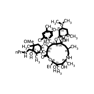 CCCNC[C@]1(O)[C@H](C)O[C@@H](O[C@H]2[C@H](C)[C@@H](O[C@@H]3O[C@H](C)C[C@H](N(C)C)[C@H]3Oc3cnc(Cl)cc3C)[C@](C)(O)C[C@@H](C)CN[C@H](C)[C@@H](O)[C@](C)(O)[C@@H](CC)OC(=O)[C@@H]2C)C[C@@]1(C)OC